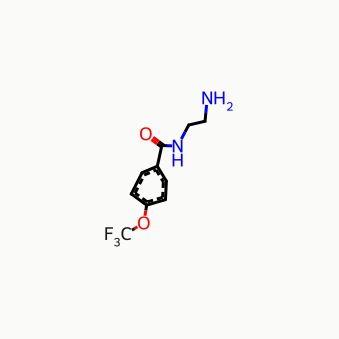 NCCNC(=O)c1ccc(OC(F)(F)F)cc1